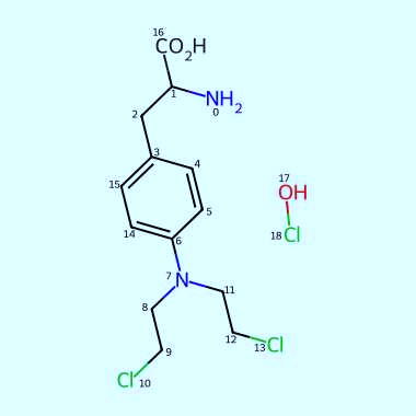 NC(Cc1ccc(N(CCCl)CCCl)cc1)C(=O)O.OCl